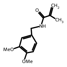 C=C(C)C(=O)NCc1ccc(OC)c(OC)c1